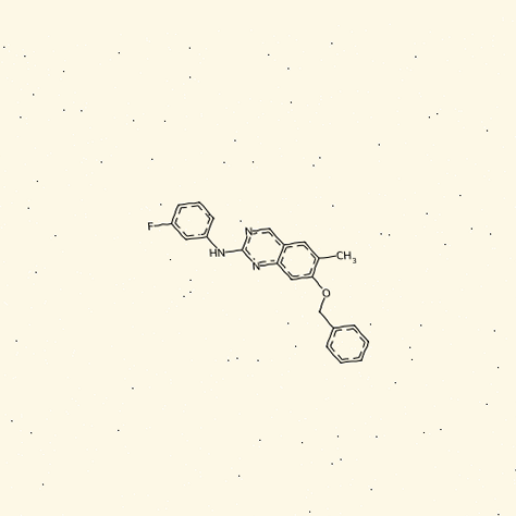 Cc1cc2cnc(Nc3cccc(F)c3)nc2cc1OCc1ccccc1